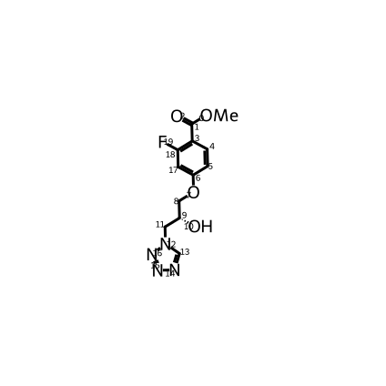 COC(=O)c1ccc(OC[C@H](O)Cn2cnnn2)cc1F